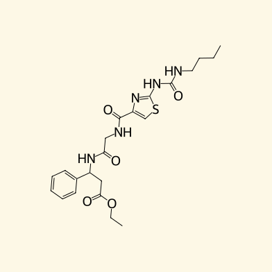 CCCCNC(=O)Nc1nc(C(=O)NCC(=O)NC(CC(=O)OCC)c2ccccc2)cs1